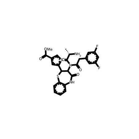 COC(=O)c1csc(C2Sc3ccccc3NC(=O)C2N(C(=O)Cc2cc(F)cc(F)c2)C(=O)[C@H](C)N)c1